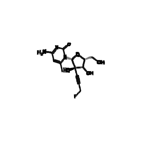 Cc1cc(N)nc(=O)n1[C@@H]1O[C@H](CO)C(O)[C@]1(O)C#CCF